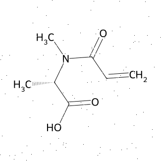 C=CC(=O)N(C)[C@@H](C)C(=O)O